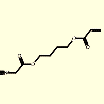 [C-]#[N+]CC(=O)OCCCCOC(=O)C=C